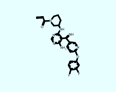 C=CC(=O)N1CCCC(Nc2ncnc(N)c2C(=N)c2ccc(Oc3ccc(F)c(F)c3)nc2)C1